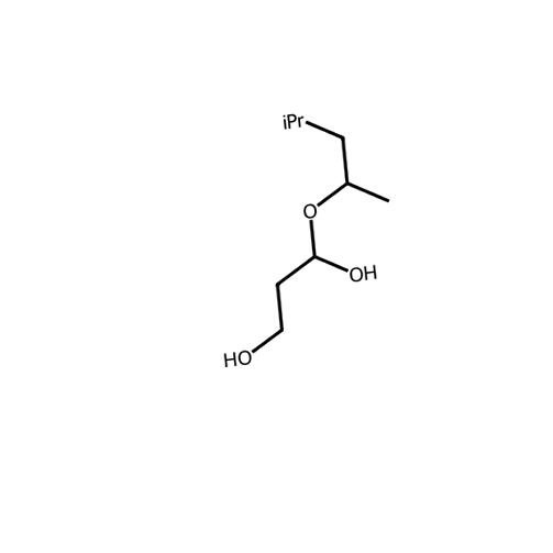 CC(C)CC(C)OC(O)CCO